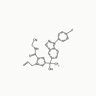 C=CCn1cc(C(O)(c2ccc3c(cnn3-c3ccc(F)cc3)c2)C(F)(F)F)cc1C(=O)NCC#N